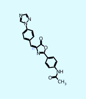 CC(=O)Nc1ccc(C2=N/C(=C/c3ccc(-n4cncn4)cc3)C(=O)O2)cc1